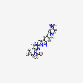 CC(c1ccc([C@H](C)Nc2nccc(N3C(=O)OC[C@@H]3C3CC3)n2)cc1)N1CCC(N(C)C)CC1